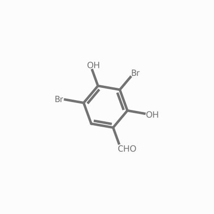 O=Cc1cc(Br)c(O)c(Br)c1O